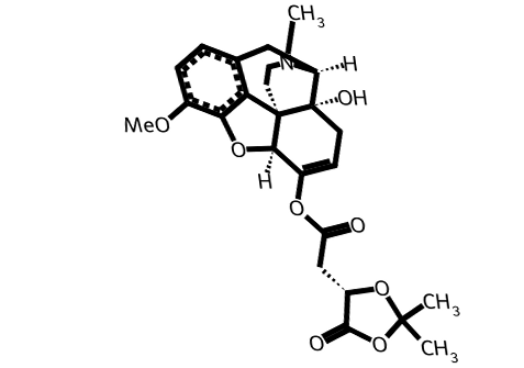 COc1ccc2c3c1O[C@@H]1C(OC(=O)C[C@@H]4OC(C)(C)OC4=O)=CC[C@]4(O)[C@H](C2)N(C)CC[C@@]314